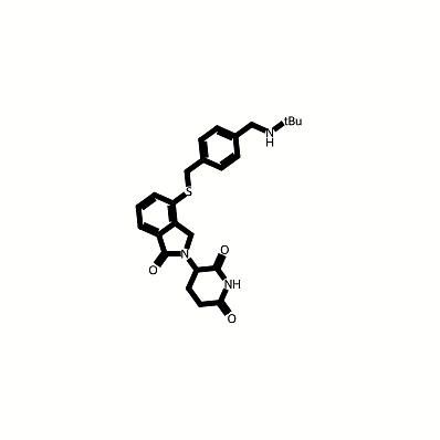 CC(C)(C)NCc1ccc(CSc2cccc3c2CN(C2CCC(=O)NC2=O)C3=O)cc1